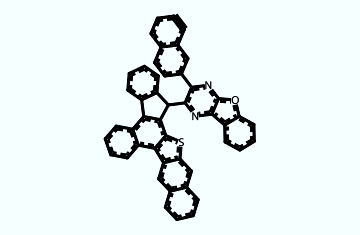 c1ccc2ccc(-c3nc4oc5ccccc5c4nc3C3c4ccccc4-c4c3c3sc5cc6ccccc6cc5c3c3ccccc43)cc2c#1